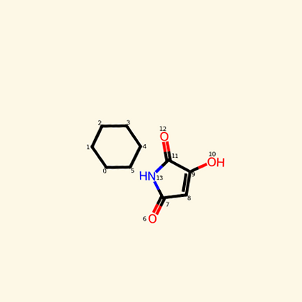 C1CCCCC1.O=C1C=C(O)C(=O)N1